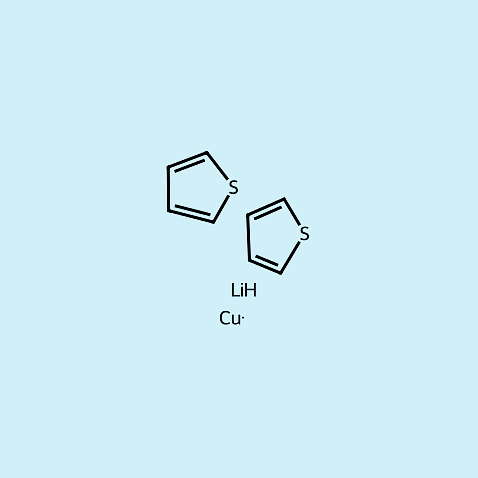 [Cu].[LiH].c1ccsc1.c1ccsc1